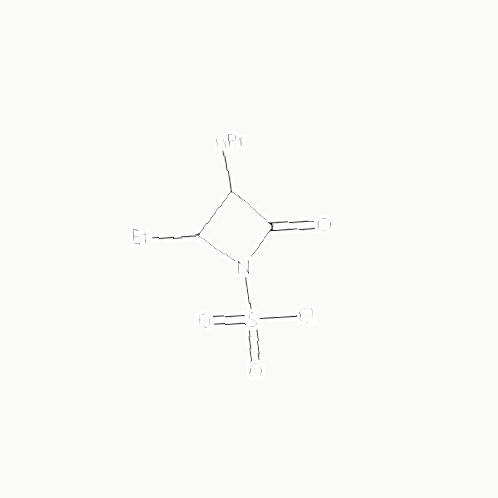 CCCC1C(=O)N(S(=O)(=O)Cl)C1CC